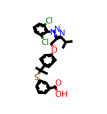 CC(C)c1nnn(-c2c(Cl)cccc2Cl)c1COc1ccc(C(C)(C)Sc2cccc(C(=O)O)c2)cc1